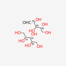 O=C[C@H](O)[C@H](O)[C@H](O)CO.OC[C@@H](O)[C@@H](O)[C@@H](O)CO